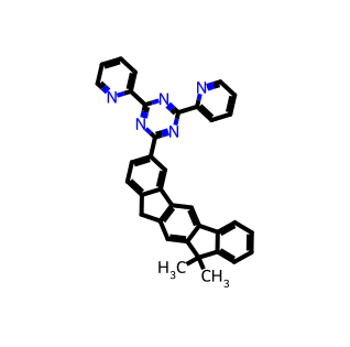 CC1(C)c2ccccc2-c2cc3c(cc21)Cc1ccc(-c2nc(-c4ccccn4)nc(-c4ccccn4)n2)cc1-3